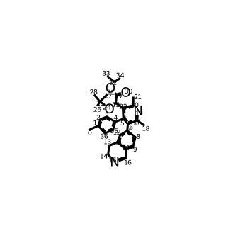 Cc1ccc(-c2c(-c3ccc4c(c3)CCN=C4)c(C)nc(C)c2C(OC(C)(C)C)C(=O)OC(C)C)cc1